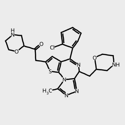 Cc1nnc2n1-c1sc(CC(=O)C3CNCCO3)cc1C(c1ccccc1Cl)=NC2CC1CNCCO1